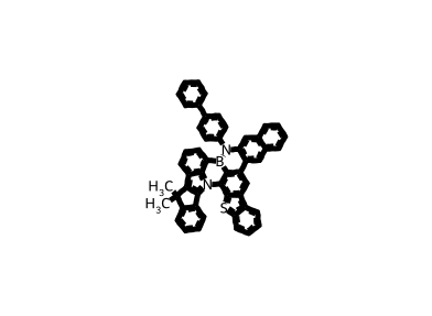 CC1(C)c2ccccc2-c2c1c1cccc3c1n2-c1c2c(cc4c1sc1ccccc14)-c1cc4ccccc4cc1N(c1ccc(-c4ccccc4)cc1)B23